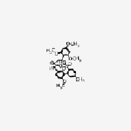 COc1cc(OC)c(C=CS(=O)(=O)Nc2ccc(OC)c(-c3cc(C)ccc3S(=O)(=O)O)c2)c(OC)c1